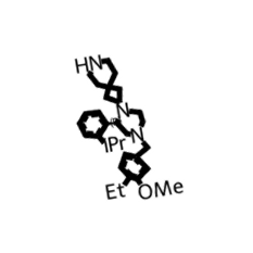 CCc1ccc(CN2CCN(C3CC4(CCNCC4)C3)[C@H](c3ccccc3C(C)C)C2)cc1OC